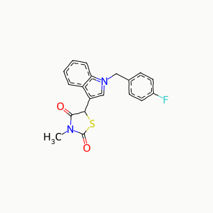 CN1C(=O)SC(c2cn(Cc3ccc(F)cc3)c3ccccc23)C1=O